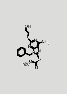 CCCCOC(=O)Oc1nc2c(N)nc(SCCO)nc2n1Cc1ccccc1